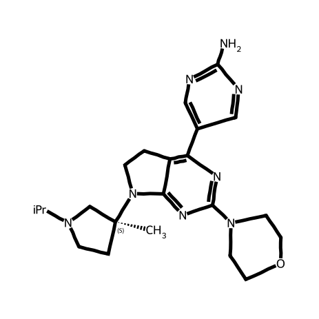 CC(C)N1CC[C@](C)(N2CCc3c(-c4cnc(N)nc4)nc(N4CCOCC4)nc32)C1